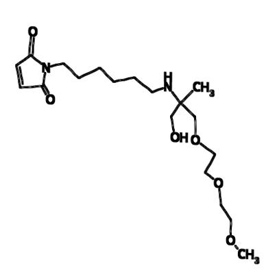 COCCOCCOCC(C)(CO)NCCCCCCN1C(=O)C=CC1=O